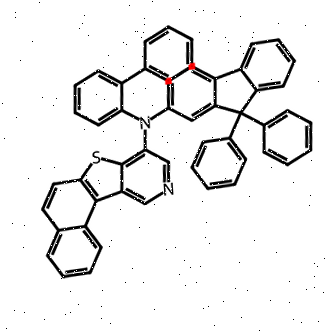 c1ccc(-c2ccccc2N(c2ccc3c(c2)C(c2ccccc2)(c2ccccc2)c2ccccc2-3)c2cncc3c2sc2ccc4ccccc4c23)cc1